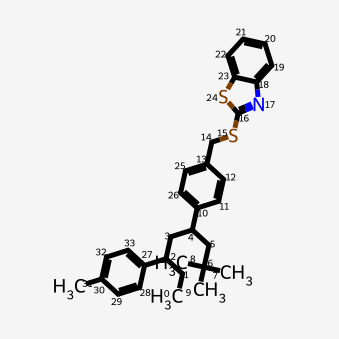 CCC(CC(CC(C)(C)C)c1ccc(CSc2nc3ccccc3s2)cc1)c1ccc(C)cc1